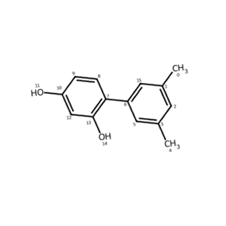 Cc1cc(C)cc(-c2ccc(O)cc2O)c1